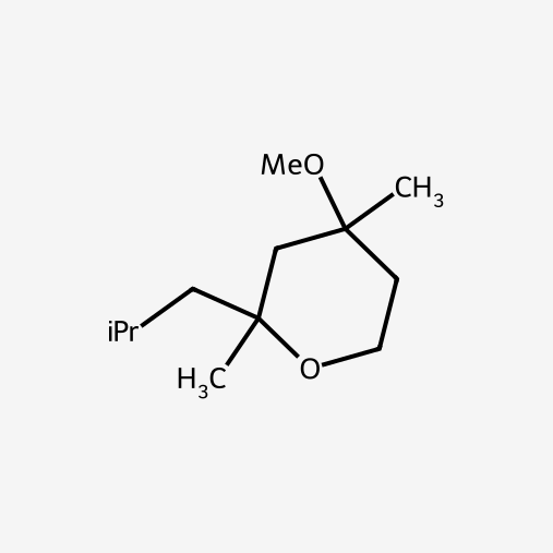 COC1(C)CCOC(C)(CC(C)C)C1